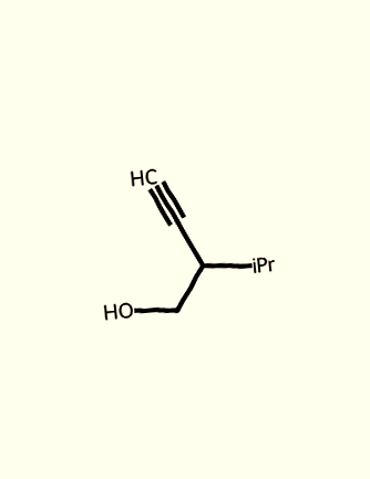 C#CC(CO)C(C)C